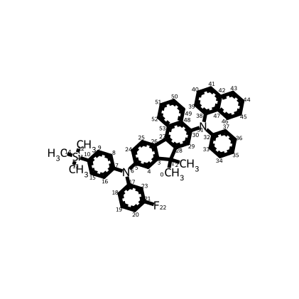 CC1(C)c2cc(N(c3ccc([Si](C)(C)C)cc3)c3cccc(F)c3)ccc2-c2c1cc(N(c1ccccc1)c1cccc3ccccc13)c1ccccc21